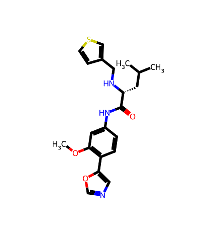 COc1cc(NC(=O)[C@@H](CC(C)C)NCc2ccsc2)ccc1-c1cnco1